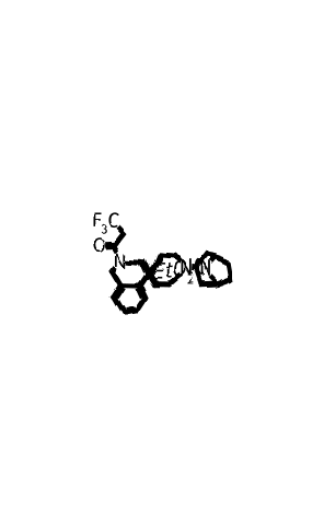 CCOC(=O)N1C2CCC1CC(N1CCC3(CC1)CN(C(=O)CC(F)(F)F)Cc1ccccc13)C2